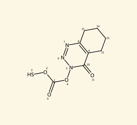 O=C(OS)On1nnc2c(c1=O)CCCC2